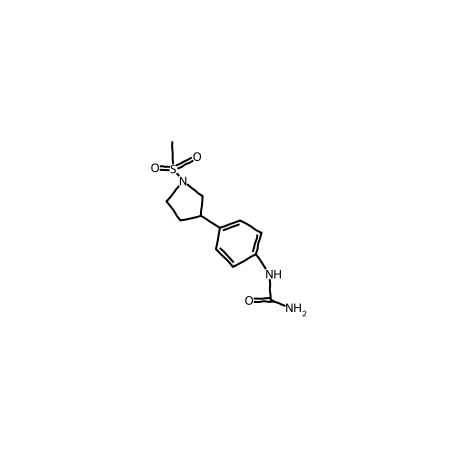 CS(=O)(=O)N1CCC(c2ccc(NC(N)=O)cc2)C1